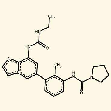 CCNC(=O)Nc1cc(-c2cccc(NC(=O)N3CCCC3)c2C)cn2ccnc12